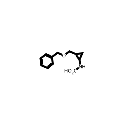 O=C(O)NC1CC1COCc1ccccc1